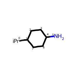 CC(C)C1CCC(N)CC1